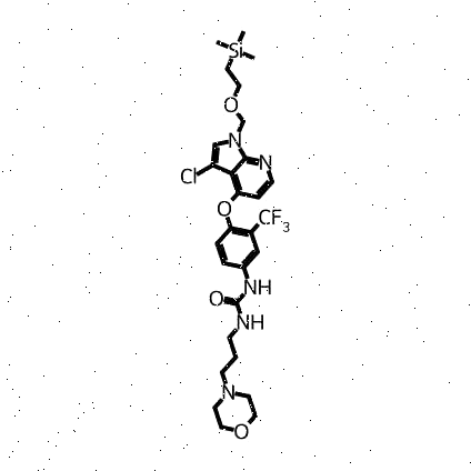 C[Si](C)(C)CCOCn1cc(Cl)c2c(Oc3ccc(NC(=O)NCCCN4CCOCC4)cc3C(F)(F)F)ccnc21